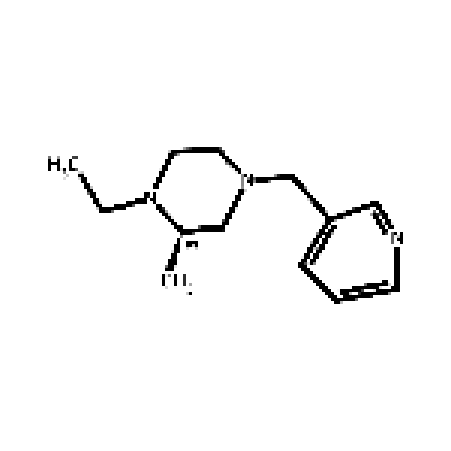 CCN1CCN(Cc2cccnc2)C[C@H]1C